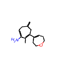 C=C1CC=C(N)C(C)=C(C2=CCCOCC2)C1